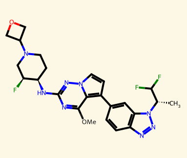 COc1nc(N[C@@H]2CCN(C3COC3)C[C@@H]2F)nn2ccc(-c3ccc4nnn([C@@H](C)C(F)F)c4c3)c12